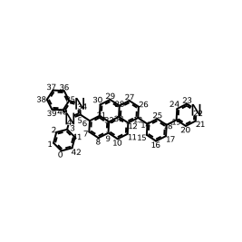 c1ccc(-n2c(-c3ccc4ccc5c(-c6cccc(-c7ccncc7)c6)ccc6ccc3c4c65)nc3ccccc32)cc1